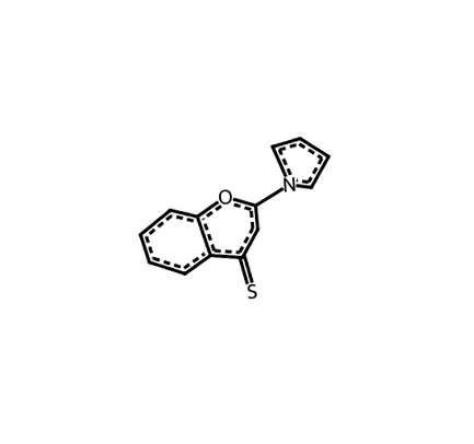 S=c1cc(-n2cccc2)oc2ccccc12